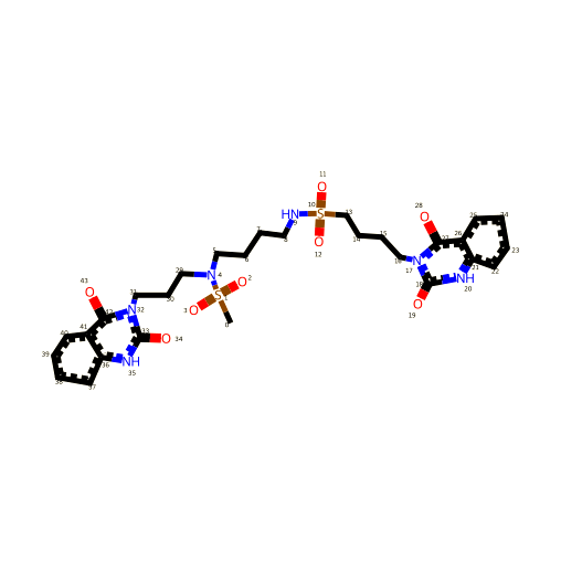 CS(=O)(=O)N(CCCCNS(=O)(=O)CCCCn1c(=O)[nH]c2ccccc2c1=O)CCCn1c(=O)[nH]c2ccccc2c1=O